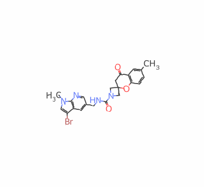 Cc1ccc2c(c1)C(=O)CC1(CN(C(=O)NCc3cnc4c(c3)c(Br)cn4C)C1)O2